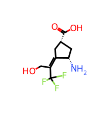 N[C@H]1C[C@@H](C(=O)O)C/C1=C(\CO)C(F)(F)F